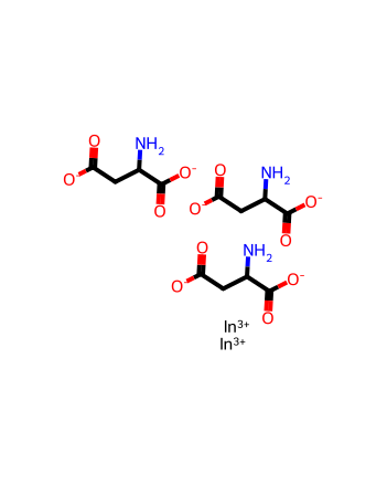 NC(CC(=O)[O-])C(=O)[O-].NC(CC(=O)[O-])C(=O)[O-].NC(CC(=O)[O-])C(=O)[O-].[In+3].[In+3]